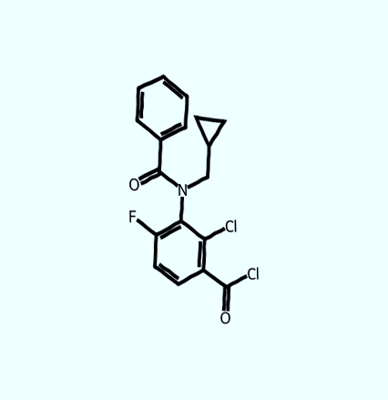 O=C(Cl)c1ccc(F)c(N(CC2CC2)C(=O)c2ccccc2)c1Cl